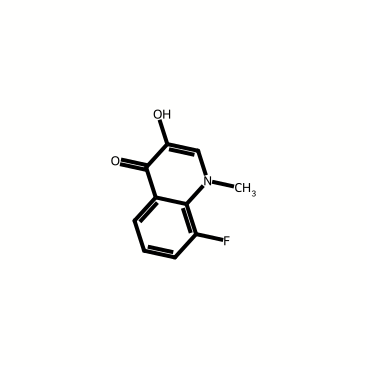 Cn1cc(O)c(=O)c2cccc(F)c21